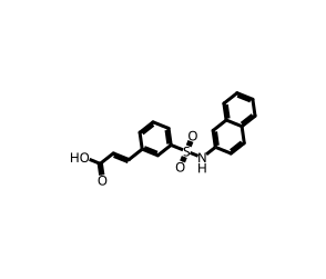 O=C(O)C=Cc1cccc(S(=O)(=O)Nc2ccc3ccccc3c2)c1